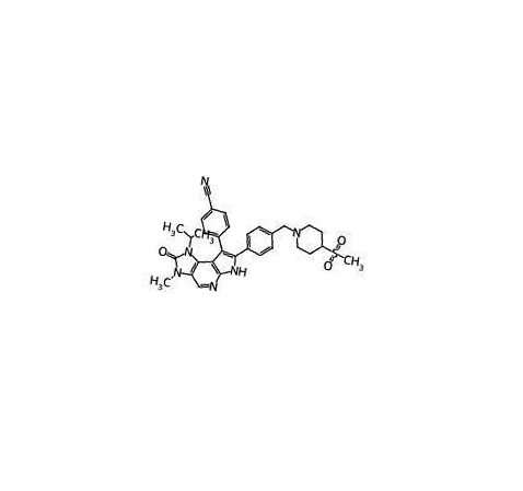 CC(C)n1c(=O)n(C)c2cnc3[nH]c(-c4ccc(CN5CCC(S(C)(=O)=O)CC5)cc4)c(-c4ccc(C#N)cc4)c3c21